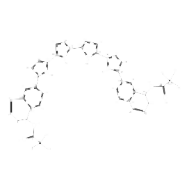 CC(C)(C)C(=O)OC1CC=Cc2cc(-c3ccc(-c4ccc(-c5ccc(-c6ccc(-c7ccc8c(c7)C(OC(=O)C(C)(C)C)CC=C8)s6)s5)s4)s3)ccc21